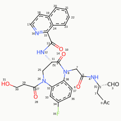 CC(=O)C[C@@H](C=O)NC(=O)CN1C(=O)[C@@H](NC(=O)c2nccc3ccccc23)CN(C(=O)CCO)c2cc(F)ccc21